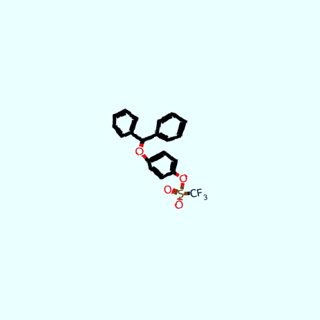 O=S(=O)(Oc1ccc(OC(c2ccccc2)c2ccccc2)cc1)C(F)(F)F